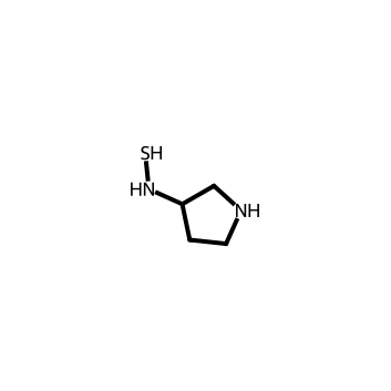 SNC1CCNC1